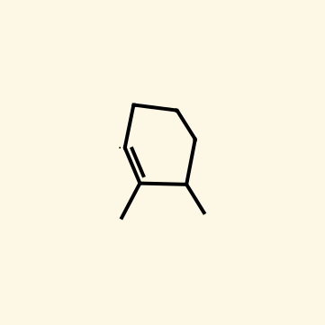 CC1=[C]CCCC1C